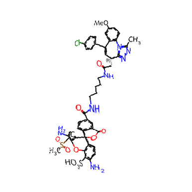 COc1ccc2c(c1)C(c1ccc(Cl)cc1)=C[C@@H](CC(=O)NCCCCCNC(=O)c1ccc3c(c1)C(=O)OC31c3ccc(N)c(S(C)(=O)=O)c3Oc3c1ccc(N)c3S(=O)(=O)O)c1nnc(C)n1-2